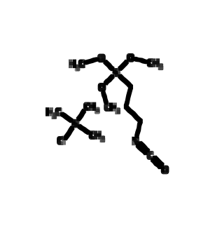 CO[Si](CCCN=C=O)(OC)OC.C[Si](C)(C)Cl